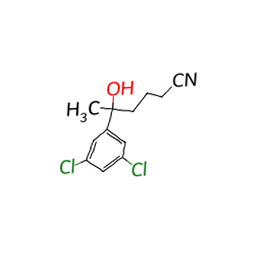 CC(O)(CCCC#N)c1cc(Cl)cc(Cl)c1